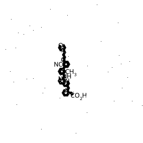 Cc1c(Nc2nccc3cc(CN4CCCCC4CC(=O)O)cnc23)cccc1-c1cccc(OCCCN2CCOCC2)c1C#N